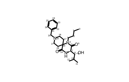 CCCCN1C(=O)[C@@H]([C@H](O)C(C)C)NC(=O)C12CCN(Cc1ccccc1)CC2